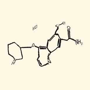 CCOc1cc2c(OC3CCCNC3)ccnc2cc1C(N)=O.Cl